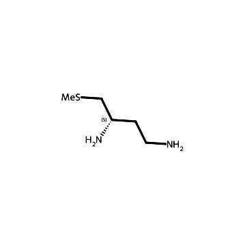 CSC[C@@H](N)CCN